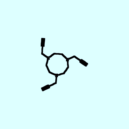 C#CCN1CCN(CC#C)CCN(CC#C)CC1